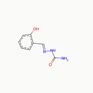 NC(=O)NN=Cc1ccccc1O